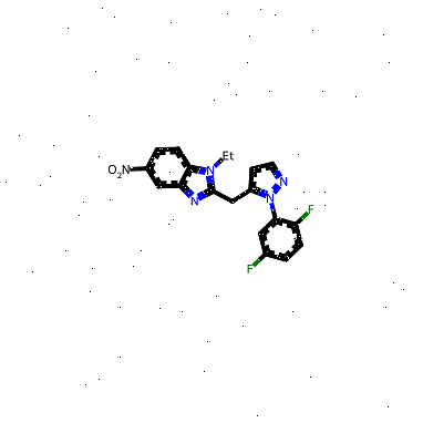 CCn1c(Cc2ccnn2-c2cc(F)ccc2F)nc2cc([N+](=O)[O-])ccc21